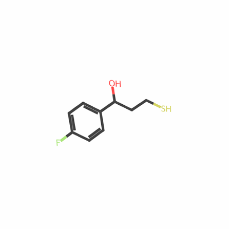 OC(CCS)c1ccc(F)cc1